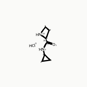 Cl.O=C(NC1CC1)[C@@H]1CCN1